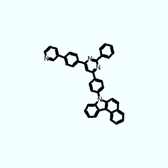 c1ccc(-c2nc(-c3ccc(-c4cccnc4)cc3)cc(-c3ccc(-n4c5ccccc5c5c6ccccc6ccc54)cc3)n2)cc1